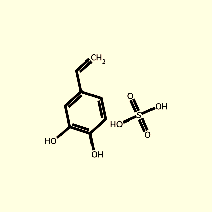 C=Cc1ccc(O)c(O)c1.O=S(=O)(O)O